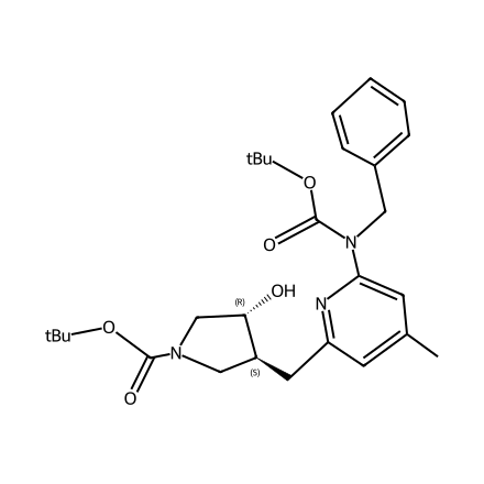 Cc1cc(C[C@H]2CN(C(=O)OC(C)(C)C)C[C@@H]2O)nc(N(Cc2ccccc2)C(=O)OC(C)(C)C)c1